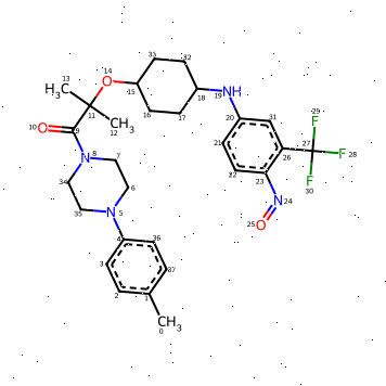 Cc1ccc(N2CCN(C(=O)C(C)(C)OC3CCC(Nc4ccc(N=O)c(C(F)(F)F)c4)CC3)CC2)cc1